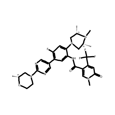 C[C@@H]1CN(c2ncc(-c3cc(NC(=O)c4cn(C)c(=O)cc4C(F)(F)F)c(N4C[C@@H](C)N(C)[C@@H](C)C4)cc3F)cn2)CCO1